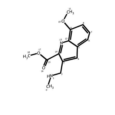 CNCc1cc2cccc(OC)c2nc1C(=O)OC